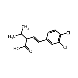 CC(C)C(C=Cc1ccc(Cl)c(Cl)c1)C(=O)O